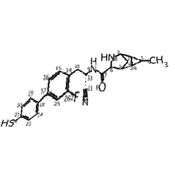 CC1C2C3CC(C(C(=O)N[C@H](C#N)Cc4ccc(-c5ccc(S)cc5)cc4F)N3)C12